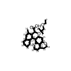 CCOCC(C)(C)OC(C(=O)O)c1c(C)cc2ccccc2c1-c1ccc2c3c(ccnc13)CCO2